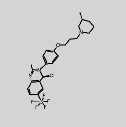 Cc1nc2ccc(S(F)(F)(F)(F)F)cc2c(=O)n1-c1ccc(OCCCN2CCC[C@H](C)C2)cc1